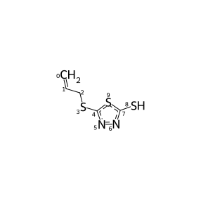 C=CCSc1nnc(S)s1